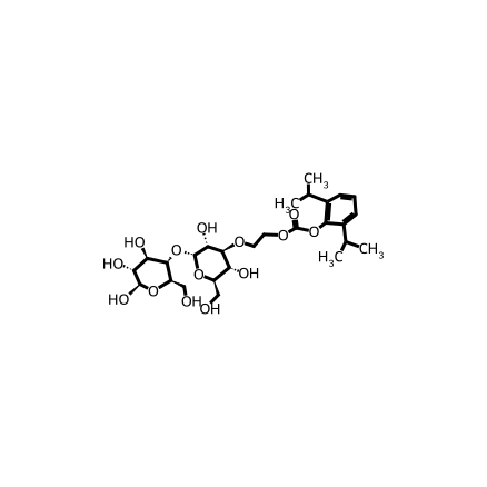 CC(C)c1cccc(C(C)C)c1OC(=O)OCCO[C@@H]1[C@@H](O)[C@@H](O[C@H]2[C@H](O)[C@@H](O)[C@H](O)O[C@@H]2CO)O[C@H](CO)[C@H]1O